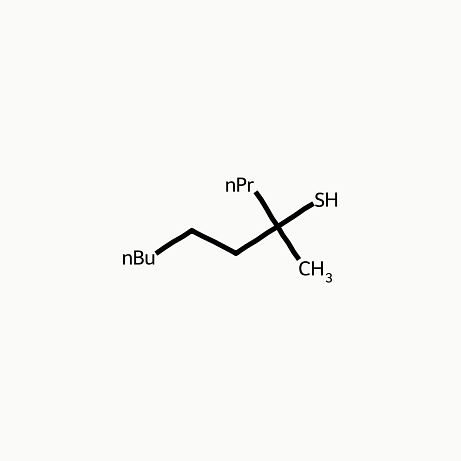 CCCCCCC(C)(S)CCC